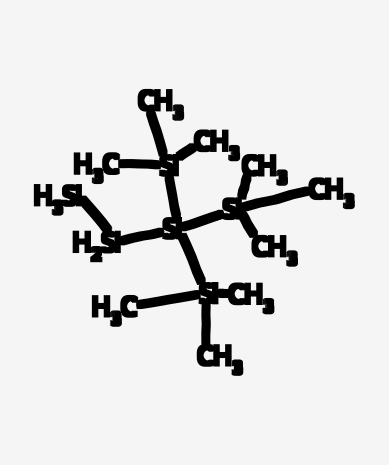 C[Si](C)(C)[Si]([SiH2][SiH3])([Si](C)(C)C)[Si](C)(C)C